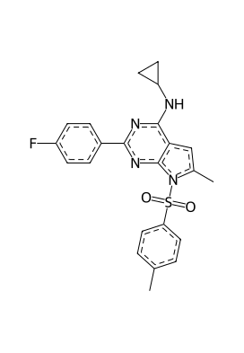 Cc1ccc(S(=O)(=O)n2c(C)cc3c(NC4CC4)nc(-c4ccc(F)cc4)nc32)cc1